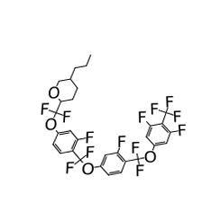 CCCC1CCC(C(F)(F)Oc2ccc(C(F)(F)Oc3ccc(C(F)(F)Oc4cc(F)c(C(F)(F)F)c(F)c4)c(F)c3)c(F)c2)OC1